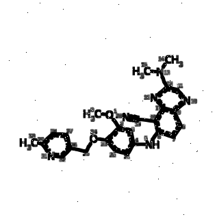 COc1cc(Nc2ccc3ncc(N(C)C)nc3c2C#N)ccc1OCc1ccc(C)nc1